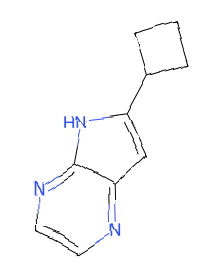 c1cnc2[nH]c(C3CCC3)cc2n1